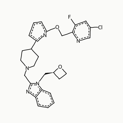 Fc1cc(Cl)cnc1COc1cccc(C2CCN(Cc3nc4ccccc4n3C[C@@H]3CCO3)CC2)n1